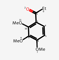 [CH2]CC(=O)c1ccc(OC)c(OC)c1OC